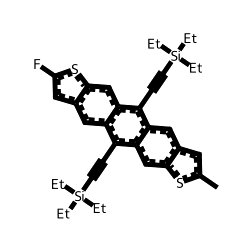 CC[Si](C#Cc1c2cc3cc(F)sc3cc2c(C#C[Si](CC)(CC)CC)c2cc3cc(C)sc3cc12)(CC)CC